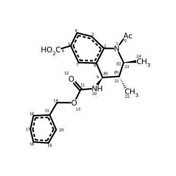 CC(=O)N1c2ccc(C(=O)O)cc2[C@H](NC(=O)OCc2ccccc2)[C@@H](C)[C@@H]1C